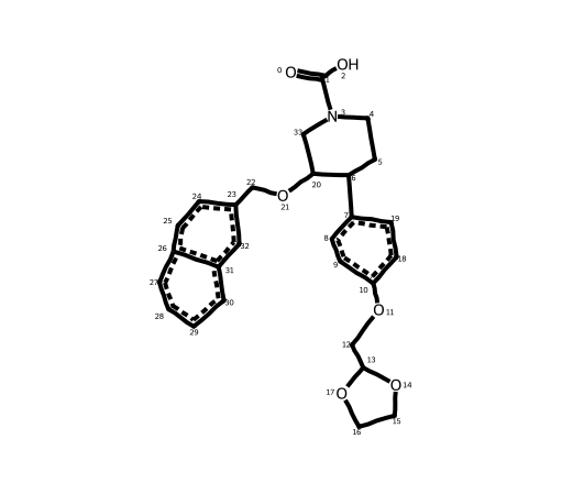 O=C(O)N1CCC(c2ccc(OCC3OCCO3)cc2)C(OCc2ccc3ccccc3c2)C1